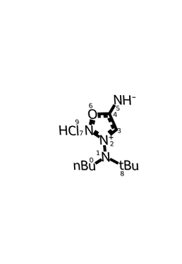 CCCCN([n+]1cc([NH-])on1)C(C)(C)C.Cl